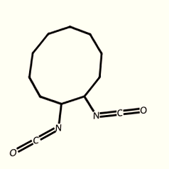 O=C=NC1CCCCCCCCC1N=C=O